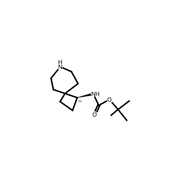 CC(C)(C)OC(=O)N[C@H]1CCC12CCNCC2